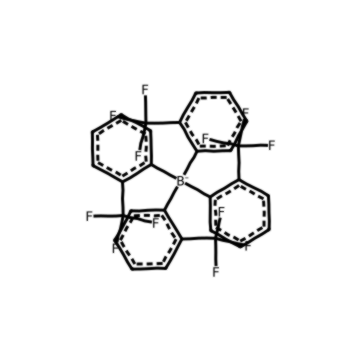 FC(F)(F)c1ccccc1[B-](c1ccccc1C(F)(F)F)(c1ccccc1C(F)(F)F)c1ccccc1C(F)(F)F